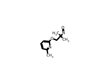 Cc1cccc(OCC(C)(C)N=O)n1